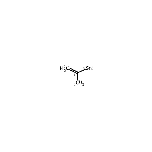 C=[C](C)[Sn]